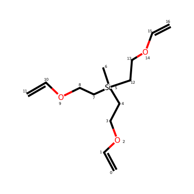 C=COCC[Si](C)(CCOC=C)CCOC=C